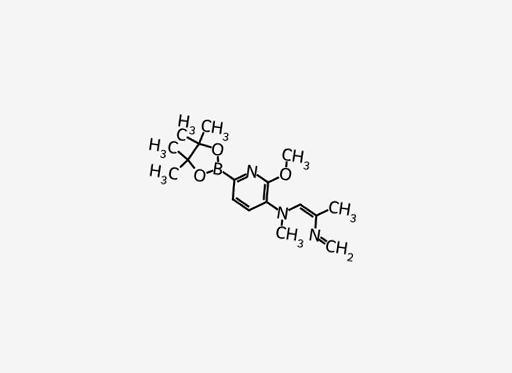 C=N/C(C)=C\N(C)c1ccc(B2OC(C)(C)C(C)(C)O2)nc1OC